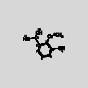 COc1c(O)cccc1C(O)O